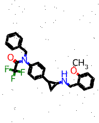 COc1ccccc1CNC1CC1c1ccc(N(Cc2ccccc2)C(=O)C(F)(F)F)cc1